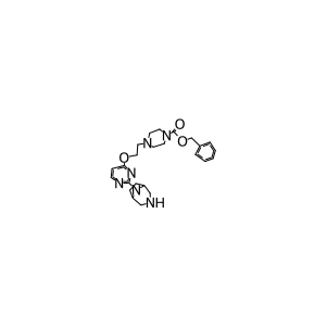 O=C(OCc1ccccc1)N1CCN(CCOc2ccnc(N3C4CCC3CNC4)n2)CC1